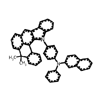 CC1(C)c2ccccc2-c2c3c1cccc3cc1c3ccccc3n(-c3ccc(N(c4ccccc4)c4ccc5ccccc5c4)cc3)c21